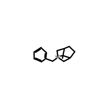 CC1(O)C2CCC1CN(Cc1ccccc1)C2